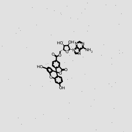 Nc1ncnc2c1ncn2[C@@H]1O[C@H](COC(=O)c2ccc3c(c2)C(=O)OC32c3ccc(O)cc3Oc3cc(O)ccc32)[C@@H](O)[C@H]1O